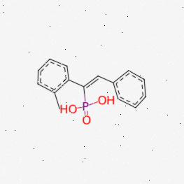 Cc1ccccc1C(=Cc1ccccc1)P(=O)(O)O